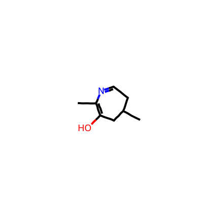 CC1=C(O)CC(C)CC=N1